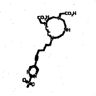 CS(=O)(=O)c1ncc(C#CCCCCN2CCNCCN(CC(=O)O)CCN(CC(=O)O)CC2)cn1